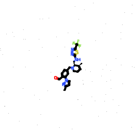 Cc1ccn(-c2cc(CN3CCC[C@@H](C)[C@H]3CNc3nnc(C(F)(F)F)s3)ccc2C=O)n1